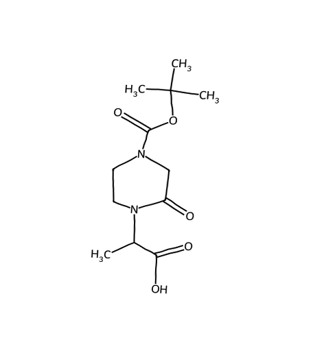 CC(C(=O)O)N1CCN(C(=O)OC(C)(C)C)CC1=O